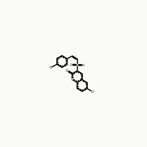 O=c1sc2ccc(Cl)cc2cc1S(=O)(=O)/C=C\c1ccc(Cl)cc1